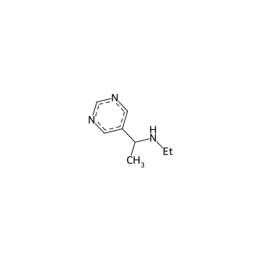 CCNC(C)c1cncnc1